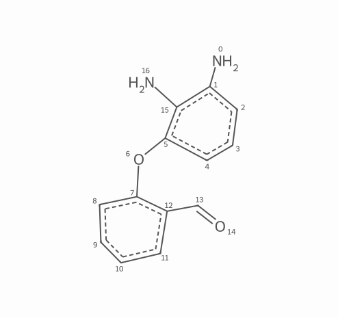 Nc1cccc(Oc2ccccc2C=O)c1N